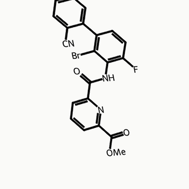 COC(=O)c1cccc(C(=O)Nc2c(F)ccc(-c3ccccc3C#N)c2Br)n1